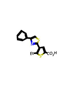 CCc1sc(C(=O)O)cc1-c1nc(-c2ccccc2)cs1